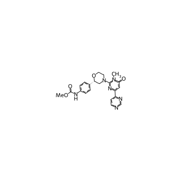 COC(=O)Nc1ccc([C@H]2CN(c3nc(-c4ccncn4)cc(=O)n3C)CCO2)cc1